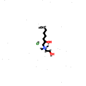 CCCCCCCCCCCCC(O)C[N+](C)(C)CCO.[Cl-]